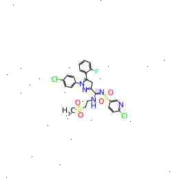 CS(=O)(=O)CCN/C(=N\S(=O)(=O)c1ccc(Cl)nc1)C1=NN(c2ccc(Cl)cc2)[C@@H](c2ccccc2F)C1